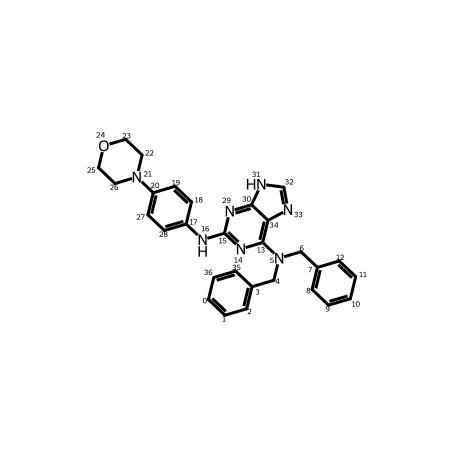 c1ccc(CN(Cc2ccccc2)c2nc(Nc3ccc(N4CCOCC4)cc3)nc3[nH]cnc23)cc1